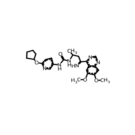 COc1cc2ncnc(C(=N)CC(C)NC(=O)Nc3ccc(OC4CCCC4)nc3)c2cc1OC